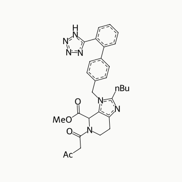 CCCCc1nc2c(n1Cc1ccc(-c3ccccc3-c3nnn[nH]3)cc1)C(C(=O)OC)N(C(=O)CC(C)=O)CC2